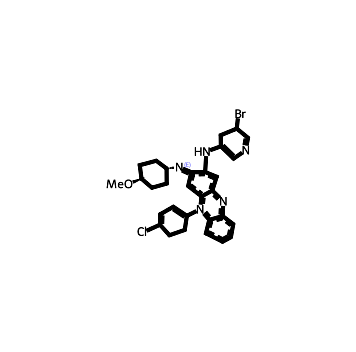 CO[C@H]1CC[C@H](/N=c2\cc3n(C4=CC=C(Cl)CC4)c4ccccc4nc-3cc2NC2=CN=CC(Br)C2)CC1